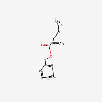 C=C(CCC)C(=O)OCc1ccccc1